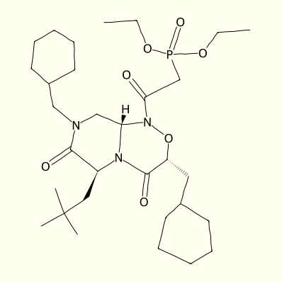 CCOP(=O)(CC(=O)N1O[C@H](CC2CCCCC2)C(=O)N2[C@@H]1CN(CC1CCCCC1)C(=O)[C@@H]2CC(C)(C)C)OCC